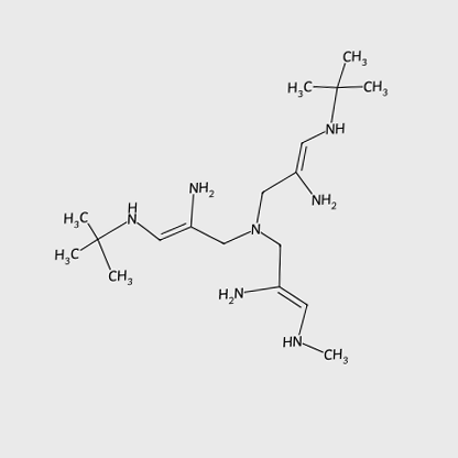 CN/C=C(\N)CN(C/C(N)=C/NC(C)(C)C)C/C(N)=C/NC(C)(C)C